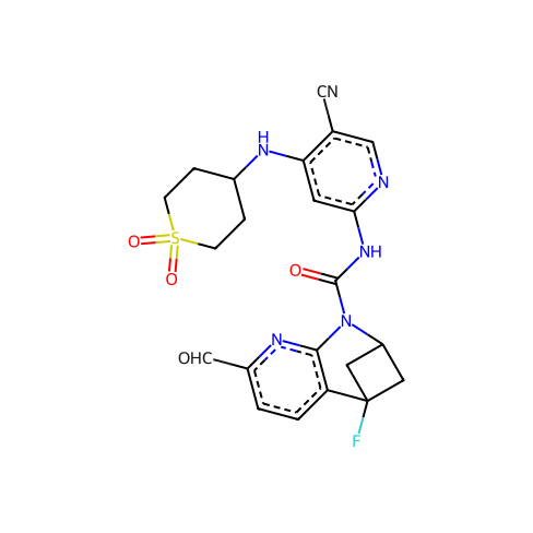 N#Cc1cnc(NC(=O)N2c3nc(C=O)ccc3C3(F)CC2C3)cc1NC1CCS(=O)(=O)CC1